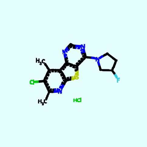 Cc1nc2sc3c(N4CCC(F)C4)ncnc3c2c(C)c1Cl.Cl